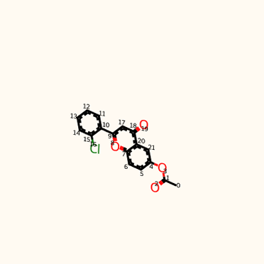 CC(=O)Oc1ccc2oc(-c3ccccc3Cl)cc(=O)c2c1